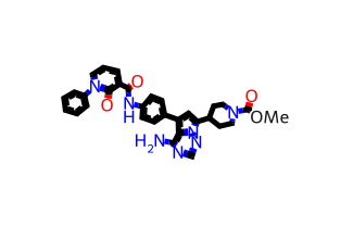 COC(=O)N1CCC(c2cc(-c3ccc(NC(=O)c4cccn(-c5ccccc5)c4=O)cc3)c3c(N)ncnn23)CC1